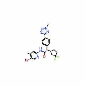 Cc1cc(NC(=O)[C@H](c2ccc(-c3nnn(C)n3)cc2)[C@H]2CCC(F)(F)C2)ncc1Br